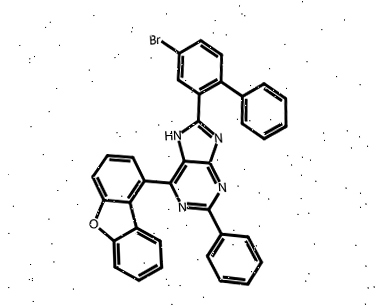 Brc1ccc(-c2ccccc2)c(-c2nc3nc(-c4ccccc4)nc(-c4cccc5oc6ccccc6c45)c3[nH]2)c1